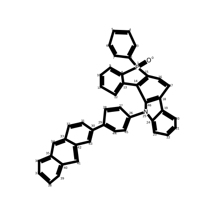 O=P1(c2ccccc2)c2ccccc2-c2c1ccc1c3ccccc3n(-c3ccc(-c4ccc5cc6ccccc6cc5c4)cc3)c21